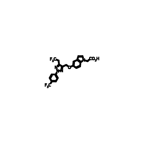 O=C(O)Cn1ccc2cc(OCc3nn(-c4ccc(C(F)(F)F)cc4)nc3CC(F)(F)F)ccc21